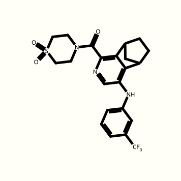 O=C(c1ncc(Nc2cccc(C(F)(F)F)c2)c2c1C1CCC2C1)N1CCS(=O)(=O)CC1